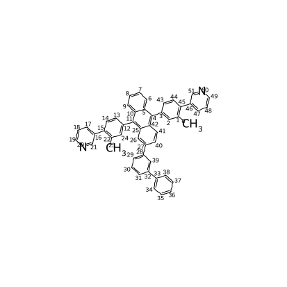 Cc1cc(-c2c3ccccc3c(-c3ccc(-c4cccnc4)c(C)c3)c3cc(-c4cccc(-c5ccccc5)c4)ccc23)ccc1-c1cccnc1